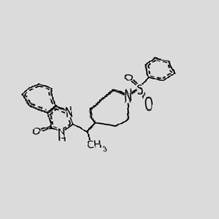 CC(c1nc2ccccc2c(=O)[nH]1)C1CCN(S(=O)(=O)c2ccccc2)CC1